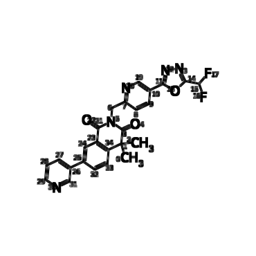 CC1(C)C(=O)N(Cc2ccc(-c3nnc(C(F)F)o3)cn2)C(=O)c2cc(-c3cccnc3)ccc21